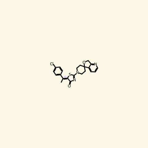 C/C(=C1/SC(N2CCC3(CC2)OCc2ncccc23)=NC1=O)c1ccc(Cl)cc1